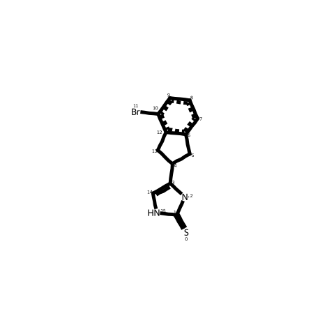 S=C1[N]C(C2Cc3cccc(Br)c3C2)=CN1